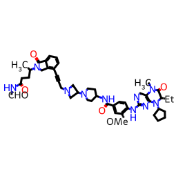 CCC1C(=O)N(C)c2cnc(Nc3ccc(C(=O)NC4CCN(C5CN(CC#Cc6cccc7c6CN(C(C)CCC(=O)NC=O)C7=O)C5)CC4)cc3OC)nc2N1C1CCCC1